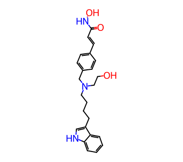 O=C(/C=C/c1ccc(CN(CCO)CCCCc2c[nH]c3ccccc23)cc1)NO